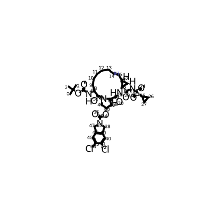 CC(C)(C)OC(=O)N[C@H]1CCCCC/C=C/[C@@H]2C[C@@]2(C(=O)NS(=O)(=O)C2CC2)NC(=O)[C@@H]2C[C@@H](OC(=O)N3Cc4cc(Cl)c(Cl)cc4C3)CN2C1=O